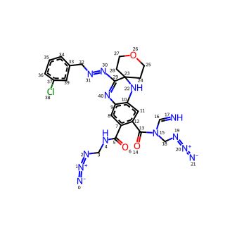 [N-]=[N+]=NCNC(=O)c1cc2c(cc1C(=O)N(C=N)CN=[N+]=[N-])NC1(CCOCC1)C(N=NCc1cccc(Cl)c1)=N2